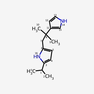 CC(C)c1ccc(CC(C)(C)c2cc[nH]c2)[nH]1